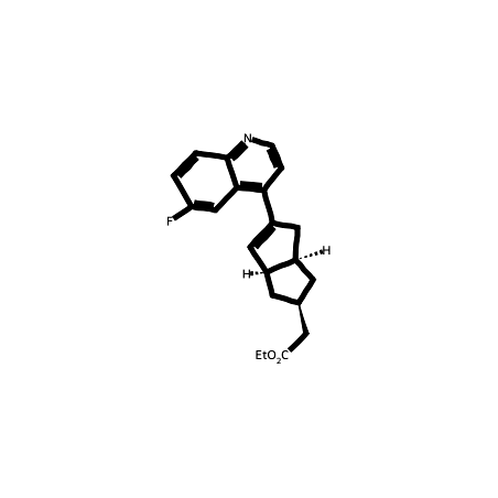 CCOC(=O)C[C@@H]1C[C@@H]2CC(c3ccnc4ccc(F)cc34)=C[C@@H]2C1